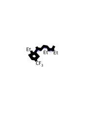 CC/C(C)=C(/C=C\C=C(/C)c1cc(C(F)(F)F)ccc1CC)CC